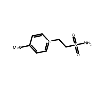 [CH2]Sc1cc[n+](CCS(N)(=O)=O)cc1